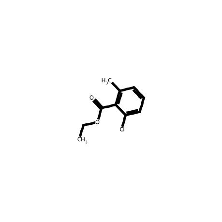 CCOC(=O)c1c(C)cccc1Cl